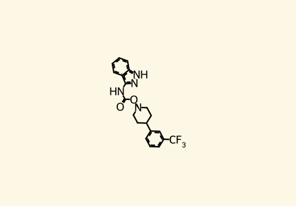 O=C(Nc1n[nH]c2ccccc12)ON1CCC(c2cccc(C(F)(F)F)c2)CC1